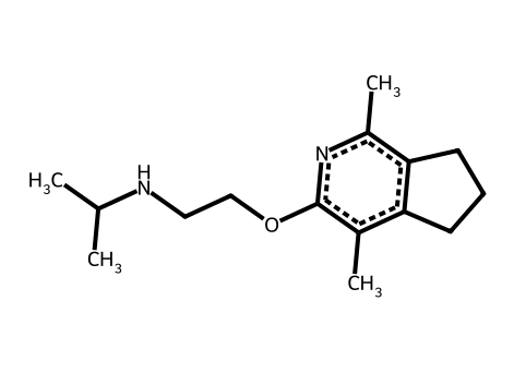 Cc1nc(OCCNC(C)C)c(C)c2c1CCC2